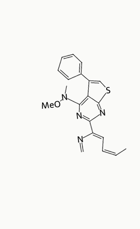 C=N/C(=C\C=C/C)c1nc(N(C)OC)c2c(-c3ccccc3)csc2n1